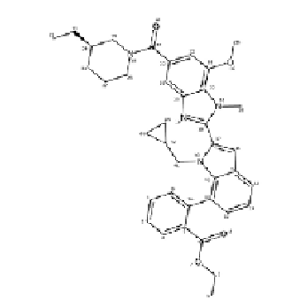 CCOC(=O)c1ccccc1-c1cccc2cc(-c3nc4cc(C(=O)N5CCC[C@@H](CC)C5)cc(OC)c4n3C)n(CC3CC3)c12